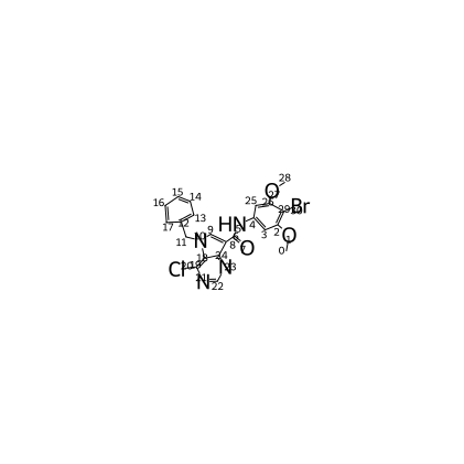 COc1cc(NC(=O)c2cn(Cc3ccccc3)c3c(Cl)ncnc23)cc(OC)c1Br